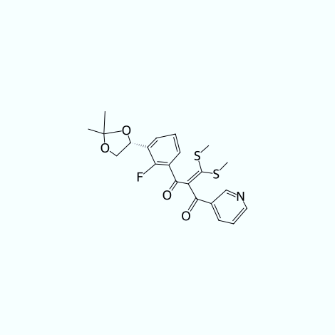 CSC(SC)=C(C(=O)c1cccnc1)C(=O)c1cccc([C@@H]2COC(C)(C)O2)c1F